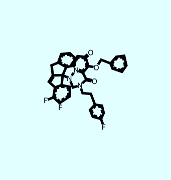 O=C1c2c(OCc3ccccc3)c(=O)ccn2N(C23C(=Cc4c2ccc(F)c4F)Cc2ccccc23)CN1CCc1ccc(F)cc1